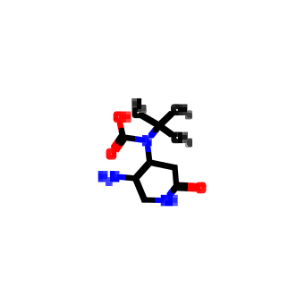 CC(C)(C)N(C(=O)O)C1CC(=O)NCC1N